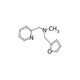 CN(Cc1ccccn1)Cc1ccco1